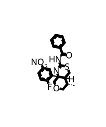 C[C@@H]1COC[C@]2(c3cc([N+](=O)[O-])ccc3F)N=C(NC(=O)c3ccccc3)SC[C@H]12